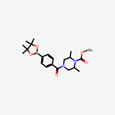 CC1CN(C(=O)c2ccc(B3OC(C)(C)C(C)(C)O3)cc2)CC(C)N1C(=O)OC(C)(C)C